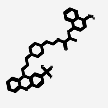 CC(Sc1ccc(N)c2ccccc12)C(=O)OCCN1CCN(CCCN2c3ccccc3Sc3ccc(C(F)(F)F)cc32)CC1